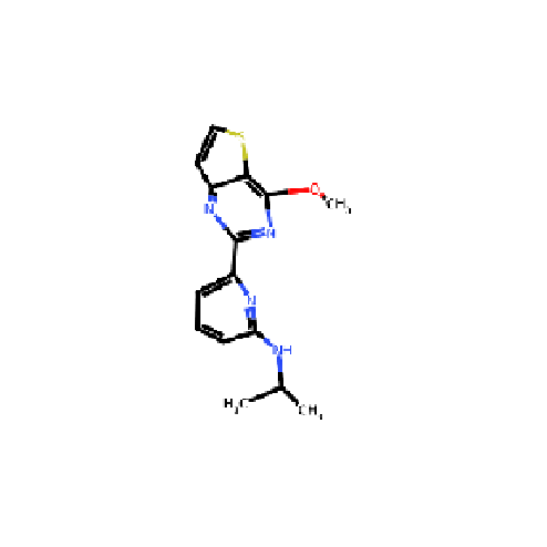 COc1nc(-c2cccc(NC(C)C)n2)nc2ccsc12